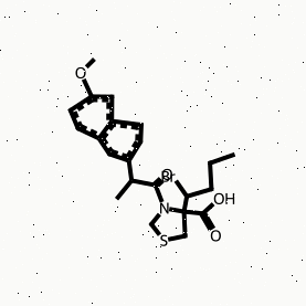 CCCC(Br)C1(C(=O)O)CSCN1C(=O)C(C)c1ccc2cc(OC)ccc2c1